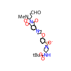 CNC(=O)C(CCC=O)N1C(=O)c2ccc(N3CC(Oc4cccc([S+]([O-])N5CCC(NC(=O)OC(C)(C)C)CC5)c4)C3)cc2C1=O